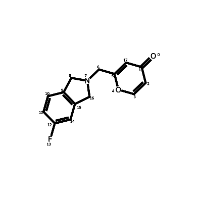 O=c1ccoc(CN2Cc3ccc(F)cc3C2)c1